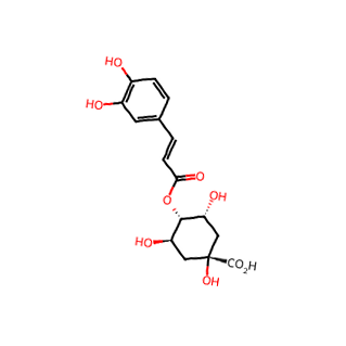 O=C(C=Cc1ccc(O)c(O)c1)O[C@H]1[C@H](O)C[C@](O)(C(=O)O)C[C@H]1O